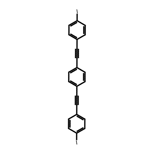 Ic1ccc(C#Cc2ccc(C#Cc3ccc(I)cc3)cc2)cc1